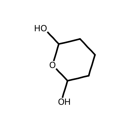 OC1CCCC(O)O1